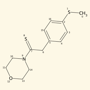 CSc1ccc(CC(=S)N2CCOCC2)cc1